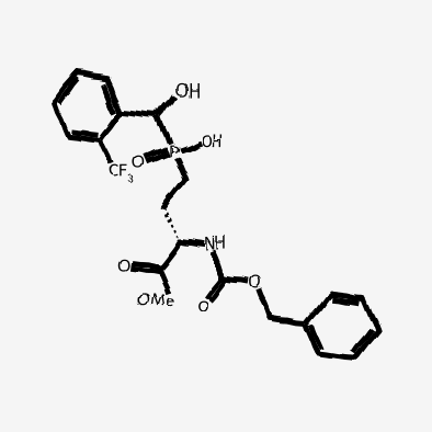 COC(=O)[C@H](CCP(=O)(O)C(O)c1ccccc1C(F)(F)F)NC(=O)OCc1ccccc1